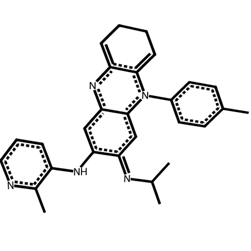 Cc1ccc(-n2c3c/c(=N\C(C)C)c(Nc4cccnc4C)cc-3nc3c2=CCCC=3)cc1